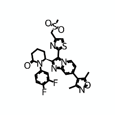 Cc1noc(C)c1-c1ccn2c(-c3nc(CS(C)(=O)=O)cs3)c([C@@H]3CCCC(=O)N3c3ccc(F)c(F)c3)nc2c1